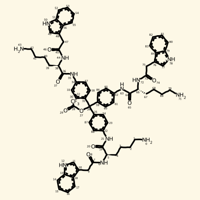 NCCCC[C@@H](NC(=O)Cc1c[nH]c2ccccc12)C(=O)Nc1ccc(C(OC(=O)C(F)(F)F)(c2ccc(NC(=O)[C@@H](CCCCN)NC(=O)Cc3c[nH]c4ccccc34)cc2)c2ccc(NC(=O)[C@@H](CCCCN)NC(=O)Cc3c[nH]c4ccccc34)cc2)cc1